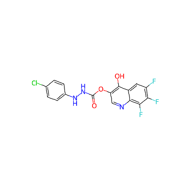 O=C(NNc1ccc(Cl)cc1)Oc1cnc2c(F)c(F)c(F)cc2c1O